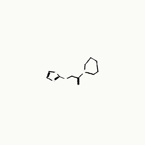 O=C(CSc1ncc[nH]1)N1CCCCC1